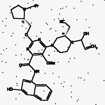 C=CC(O)N1CCN(c2nc(OC[C@@H]3CCCN3C(C)C)nc(C(=O)Nc3cc(O)cc4ccccc34)c2OC)C[C@@H]1CC#N